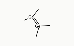 [CH3][Ge]([CH3])=[Ge]([CH3])[CH3]